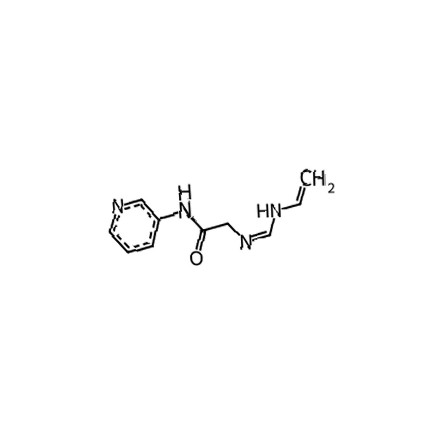 C=CN/C=N\CC(=O)Nc1cccnc1